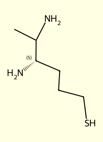 CC(N)[C@@H](N)CCCS